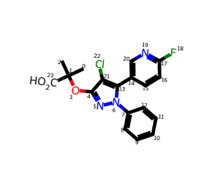 CC(C)(Oc1nn(-c2ccccc2)c(-c2ccc(F)nc2)c1Cl)C(=O)O